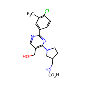 O=C(O)NCC1CCN(c2nc(-c3ccc(Cl)c(C(F)(F)F)c3)ncc2CO)C1